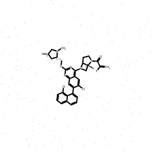 C=C(F)C(=O)N1CCC2[C@H]1CN2c1nc(OC[C@@H]2C[C@@H](F)CN2C)nc2cc(-c3cccc4cccc(Cl)c34)c(Cl)cc12